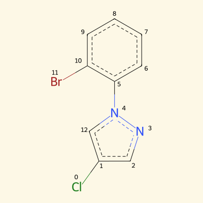 Clc1cnn(-c2ccccc2Br)c1